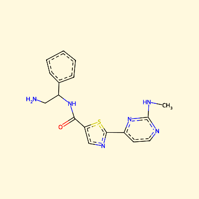 CNc1nccc(-c2ncc(C(=O)NC(CN)c3ccccc3)s2)n1